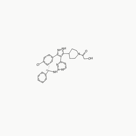 C[C@H](Nc1nccc(-c2c(-c3ccc(Cl)cc3)n[nH]c2C2CCN(C(=O)CO)CC2)n1)c1ccccc1